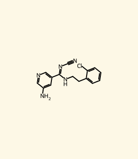 N#CN=C(NCCc1ccccc1Cl)c1cncc(N)c1